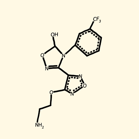 NCCOc1nonc1C1=NOC(O)N1c1cccc(C(F)(F)F)c1